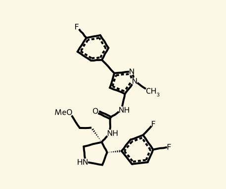 COCC[C@@]1(NC(=O)Nc2cc(-c3ccc(F)cc3)nn2C)CNC[C@H]1c1ccc(F)c(F)c1